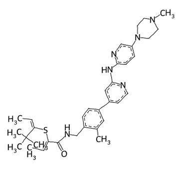 C/C=C(\S/C(=C/C)C(C)(C)C)C(=O)NCc1ccc(-c2ccnc(Nc3ccc(N4CCN(C)CC4)cn3)c2)cc1C